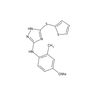 COc1ccc(Nc2n[nH]c(Sc3cccs3)n2)c(C)c1